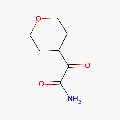 NC(=O)C(=O)C1CCOCC1